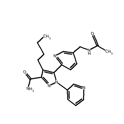 CCCCc1c(C(N)=O)nn(-c2cccnc2)c1-c1ccc(CNC(C)=O)cn1